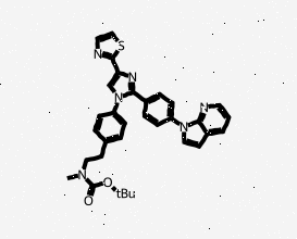 CN(CCc1ccc(-n2cc(-c3nccs3)nc2-c2ccc(-n3ccc4cccnc43)cc2)cc1)C(=O)OC(C)(C)C